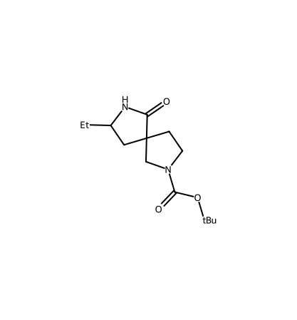 CCC1CC2(CCN(C(=O)OC(C)(C)C)C2)C(=O)N1